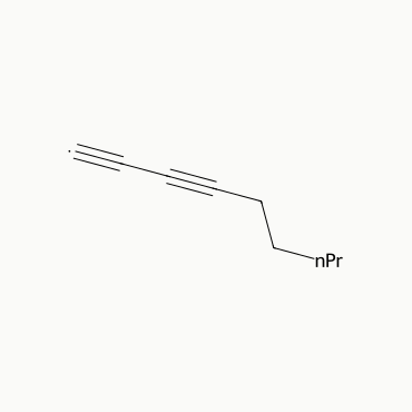 [C]#CC#CCCCCC